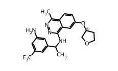 Cc1nnc(NC(C)c2cc(N)cc(C(F)(F)F)c2)c2cc(O[C@H]3CCOC3)ccc12